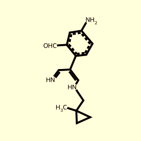 CC1(CN/C=C(\C=N)c2ccc(N)cc2C=O)CC1